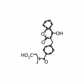 CN(CC(=O)O)C(=O)c1ccc(Cc2c(O)c3ccccc3oc2=O)cc1